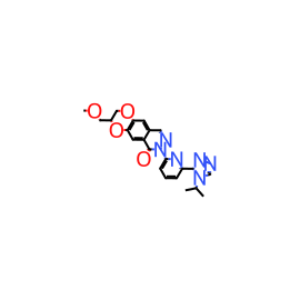 COCC1COc2cc3cnn(-c4cccc(-c5nncn5C(C)C)n4)c(=O)c3cc2O1